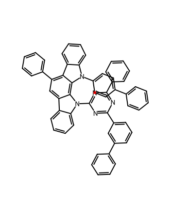 c1ccc(-c2ccc(-n3c4ccccc4c4c(-c5ccccc5)cc5c6ccccc6n(-c6nc(-c7ccccc7)nc(-c7cccc(-c8ccccc8)c7)n6)c5c43)cc2)cc1